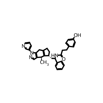 C[C@@H]1C2=C(CC[C@@H]2CC(NC(=O)CCc2ccc(O)cc2)c2ccccc2)Cc2c1cnn2-c1cccnc1